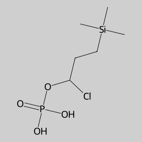 C[Si](C)(C)CCC(Cl)OP(=O)(O)O